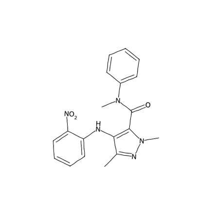 Cc1nn(C)c(C(=O)N(C)c2ccccc2)c1Nc1ccccc1[N+](=O)[O-]